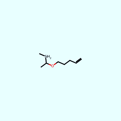 C=CCCCOC(C)[SiH2]C